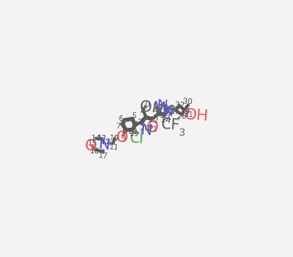 COCc1c(-c2cccc(OCCN3CCOCC3)c2Cl)noc1-c1cnn(C2CC(C)(O)C2)c1C(F)(F)F